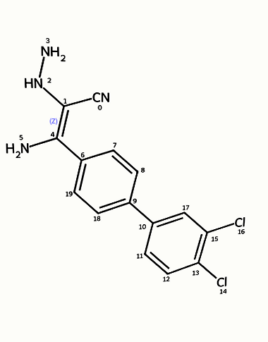 N#C/C(NN)=C(/N)c1ccc(-c2ccc(Cl)c(Cl)c2)cc1